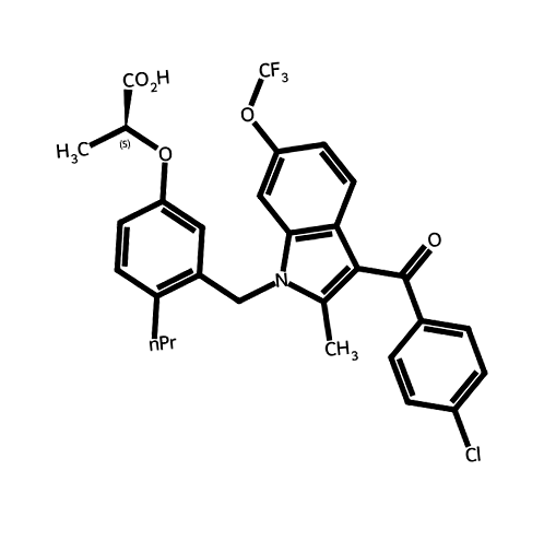 CCCc1ccc(O[C@@H](C)C(=O)O)cc1Cn1c(C)c(C(=O)c2ccc(Cl)cc2)c2ccc(OC(F)(F)F)cc21